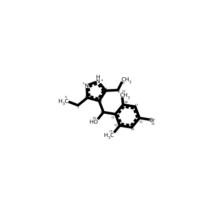 CCc1n[nH]c(CC)c1C(O)c1c(C)cc(Br)cc1C